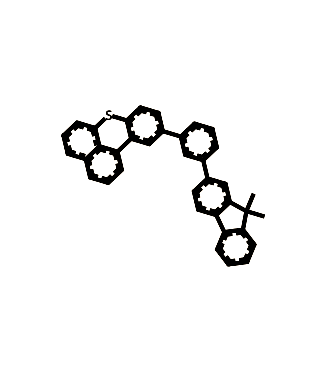 CC1(C)c2ccccc2-c2ccc(-c3cccc(-c4ccc5c(c4)-c4cccc6cccc(c46)S5)c3)cc21